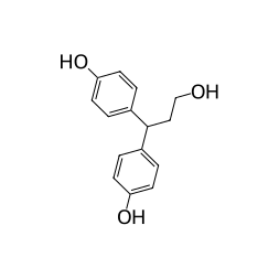 OCCC(c1ccc(O)cc1)c1ccc(O)cc1